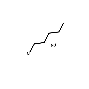 CCCCCCl.[Nd]